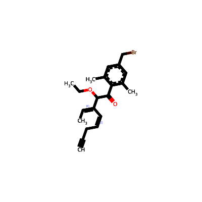 C#CC/C=C\C(=C/C)C(OCC)C(=O)c1c(C)cc(CBr)cc1C